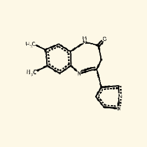 Cc1cc2c(cc1C)NC(=O)CC(c1ccnnc1)=N2